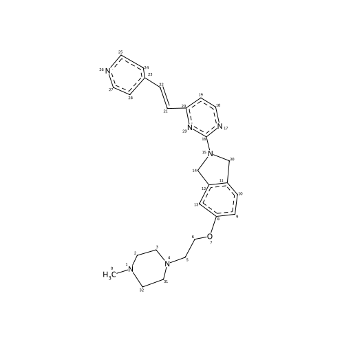 CN1CCN(CCOc2ccc3c(c2)CN(c2nccc(/C=C/c4ccncc4)n2)C3)CC1